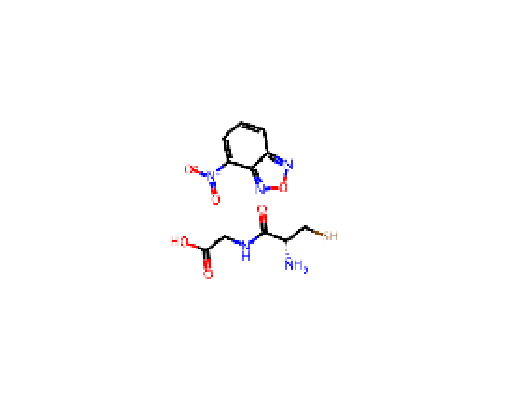 N[C@@H](CS)C(=O)NCC(=O)O.O=[N+]([O-])c1cccc2nonc12